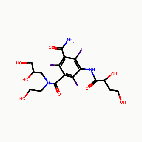 NC(=O)c1c(I)c(NC(=O)C(O)CCO)c(I)c(C(=O)N(CCO)CC(O)CO)c1I